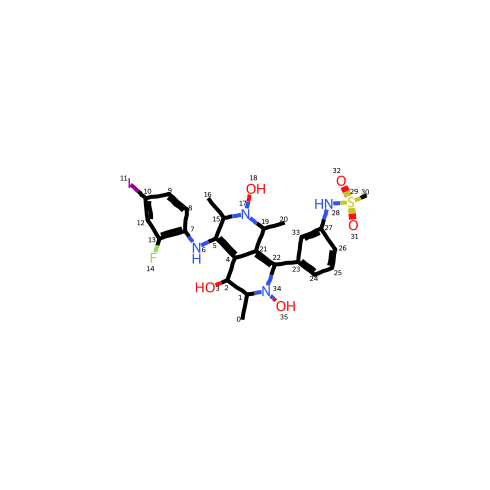 CC1C(O)C2=C(Nc3ccc(I)cc3F)C(C)N(O)C(C)C2=C(c2cccc(NS(C)(=O)=O)c2)N1O